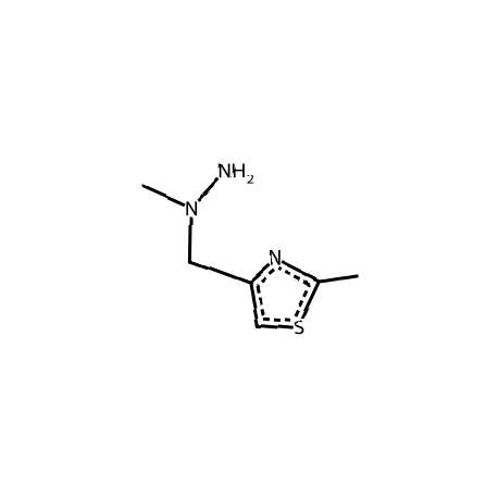 Cc1nc(CN(C)N)cs1